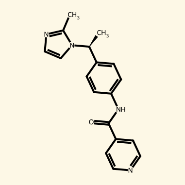 Cc1nccn1[C@@H](C)c1ccc(NC(=O)c2ccncc2)cc1